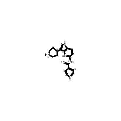 O=C(Nc1ccc2[nH]cc(C3CCNCC3)c2n1)c1ccncc1